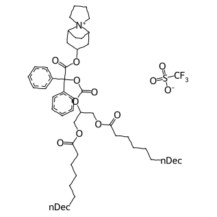 CCCCCCCCCCCCCCCC(=O)OCC(COC(=O)CCCCCCCCCCCCCCC)OC(=O)OC(C(=O)OC1CC2CCC(C1)[N+]21CCCC1)(c1ccccc1)c1ccccc1.O=S(=O)([O-])C(F)(F)F